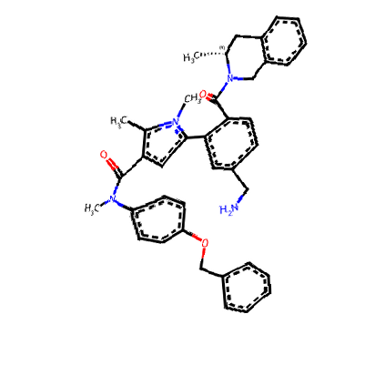 Cc1c(C(=O)N(C)c2ccc(OCc3ccccc3)cc2)cc(-c2cc(CN)ccc2C(=O)N2Cc3ccccc3C[C@H]2C)n1C